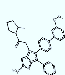 CC1CCCN1C(=O)Cn1c(-c2ccc(-c3cccc(OC(F)(F)F)c3)cc2)c(-c2ccccc2)c2sc(C(=O)O)cc21